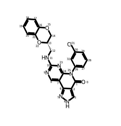 O=c1c2c[nH]nc2c2cnc(NC[C@H]3COc4ccccc4O3)nc2n1-c1cccc(Cl)c1